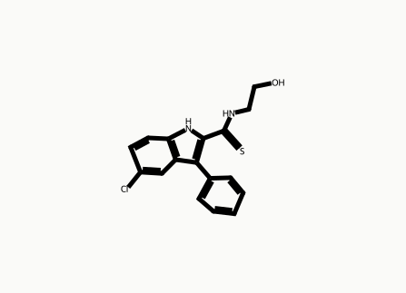 OCCNC(=S)c1[nH]c2ccc(Cl)cc2c1-c1ccccc1